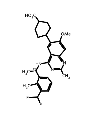 COc1cc2nc(C)nc(N[C@H](C)c3cccc(C(F)F)c3C)c2cc1C1CCC(C(=O)O)CC1